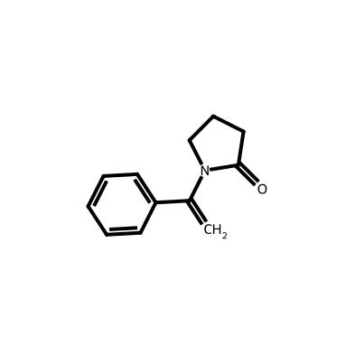 C=C(c1ccccc1)N1CCCC1=O